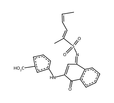 C/C=C\C=C(/C)S(=O)(=O)/N=C1\C=C(Nc2cccc(C(=O)O)c2)C(=O)c2ccccc21